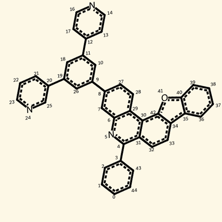 c1ccc(-c2nc3cc(-c4cc(-c5ccncc5)cc(-c5cccnc5)c4)ccc3c3c2ccc2c4ccccc4oc23)cc1